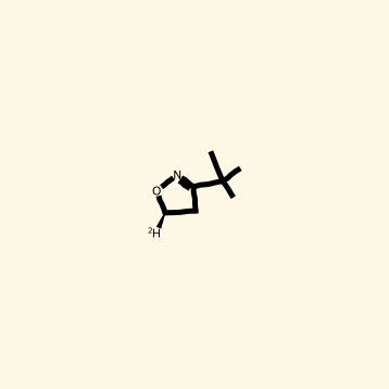 [2H][C@@H]1CC(C(C)(C)C)=NO1